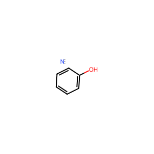 Oc1ccccc1.[N]